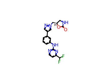 O=C1NC[C@H](Cn2cc(-c3cccc(Nc4nccc(C(F)F)n4)c3)cn2)O1